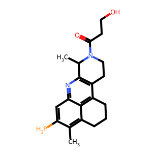 Cc1c(P)cc2nc3c(c4c2c1CCC4)CCN(C(=O)CCO)C3C